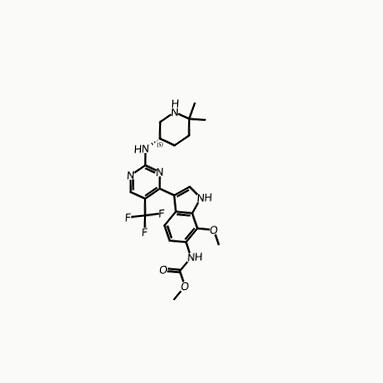 COC(=O)Nc1ccc2c(-c3nc(N[C@H]4CCC(C)(C)NC4)ncc3C(F)(F)F)c[nH]c2c1OC